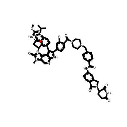 COC(=O)N[C@@H]1CC[C@@H](n2c(=O)n(C)c3cnc4[nH]c(-c5ccc(C(=O)N6CCN(Cc7ccc(C(=O)Nc8ccc9c(c8)CN(C8CCC(=O)NC8=O)C9=O)cc7)CC6)c(F)c5)c(-c5ccc6c(cnn6C(C)C)c5)c4c32)C1